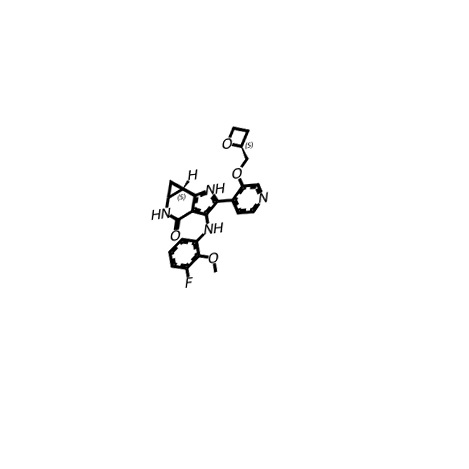 COc1c(F)cccc1Nc1c(-c2ccncc2OC[C@@H]2CCO2)[nH]c2c1C(=O)NC1C[C@H]21